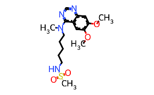 COc1cc2ncnc(N(C)CCCCCNS(C)(=O)=O)c2cc1OC